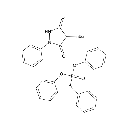 CCCCC1C(=O)NN(c2ccccc2)C1=O.O=P(Oc1ccccc1)(Oc1ccccc1)Oc1ccccc1